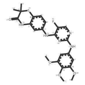 COc1cc(Nc2ncc(F)c(Nc3ccc4c(c3)NC(=O)C(C)(C)S4)n2)cc(OC)c1OC